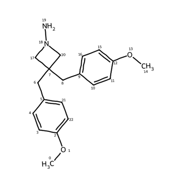 COc1ccc(CC2(Cc3ccc(OC)cc3)CN(N)C2)cc1